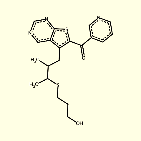 CC(Cc1c(C(=O)c2cccnc2)sc2ncncc12)C(C)SCCCO